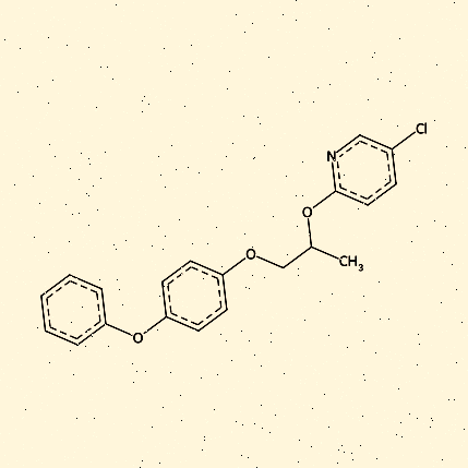 CC(COc1ccc(Oc2ccccc2)cc1)Oc1ccc(Cl)cn1